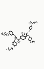 COc1cccc(CN(Cc2ccc(CN)cc2)C(=O)c2ccc3c(c2)nc(CCc2ccc(C(=N)N)cc2)n3Cc2ccc(C)cc2)c1